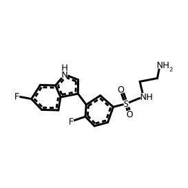 NCCNS(=O)(=O)c1ccc(F)c(-c2c[nH]c3cc(F)ccc23)c1